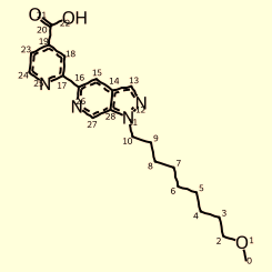 COCCCCCCCCCn1ncc2cc(-c3cc(C(=O)O)ccn3)ncc21